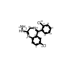 NNC1=Nc2ccc(Cl)cc2C(c2ccccc2Cl)=NC1